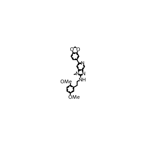 COc1ccc(OC)c(CCNc2nc3cnc(-c4ccc5c(c4)OCO5)cc3n2C)c1